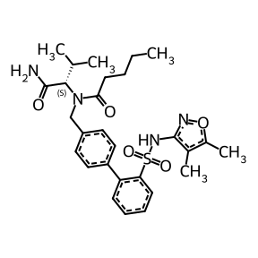 CCCCC(=O)N(Cc1ccc(-c2ccccc2S(=O)(=O)Nc2noc(C)c2C)cc1)[C@H](C(N)=O)C(C)C